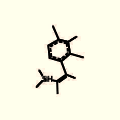 CC(=C(C)[SiH](C)C)c1ccc(C)c(C)c1C